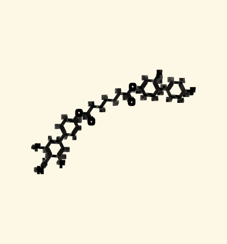 N#Cc1c(F)cc(-c2ccc(OC(=O)CCCCCC(=O)Oc3ccc(-c4ccc(F)cc4)c(F)c3)cc2)cc1F